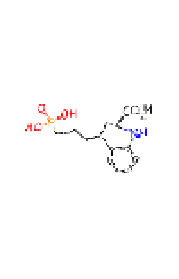 O=C(O)[C@@H]1C[C@H](CCCP(=O)(O)O)c2ccccc2N1